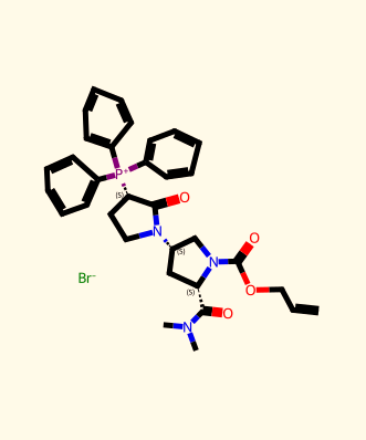 C=CCOC(=O)N1C[C@@H](N2CC[C@H]([P+](c3ccccc3)(c3ccccc3)c3ccccc3)C2=O)C[C@H]1C(=O)N(C)C.[Br-]